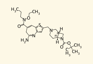 CCCN(OCC)C(=O)C1=Cc2sc(CN3CC[C@@H]4[C@H](C3)CN4C(=O)OC(C)(C)C)cc2N=C(N)C1